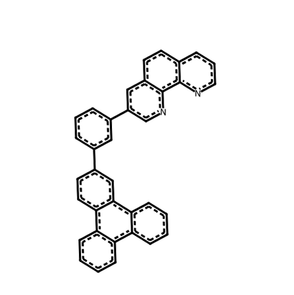 c1cc(-c2cnc3c(ccc4cccnc43)c2)cc(-c2ccc3c4ccccc4c4ccccc4c3c2)c1